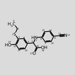 CCSc1cc(C(Nc2ccc(C#N)cc2)C(=O)O)ccc1O